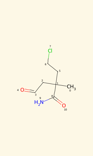 CC(CC=O)(CCCl)C(N)=O